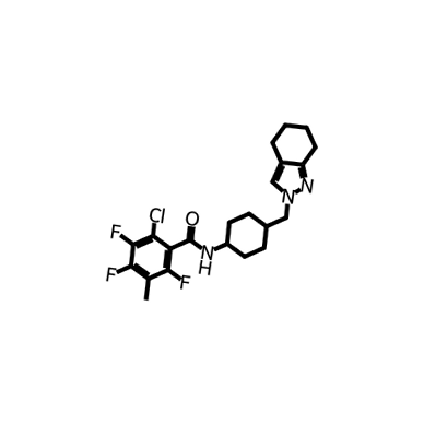 Cc1c(F)c(F)c(Cl)c(C(=O)NC2CCC(Cn3cc4c(n3)CCCC4)CC2)c1F